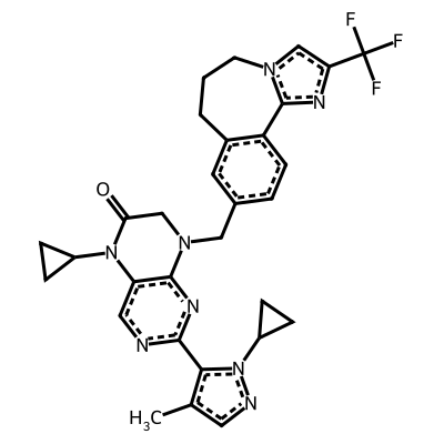 Cc1cnn(C2CC2)c1-c1ncc2c(n1)N(Cc1ccc3c(c1)CCCn1cc(C(F)(F)F)nc1-3)CC(=O)N2C1CC1